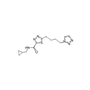 O=C(NCC1CC1)c1nnc(CCCCn2ccnn2)s1